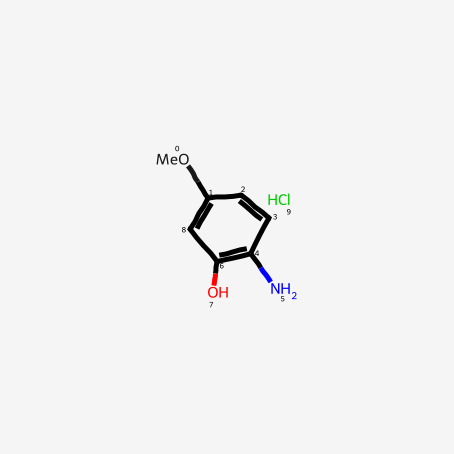 COc1ccc(N)c(O)c1.Cl